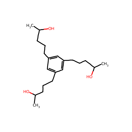 CC(O)CCCc1cc(CCCC(C)O)cc(CCCC(C)O)c1